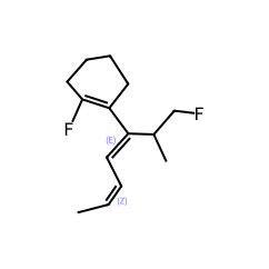 C/C=C\C=C(\C1=C(F)CCCC1)C(C)CF